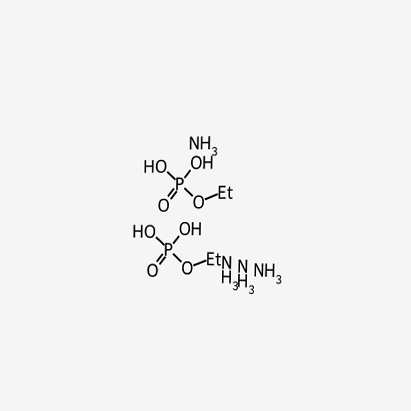 CCOP(=O)(O)O.CCOP(=O)(O)O.N.N.N.N